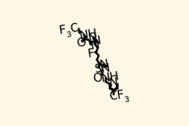 O=C(NCCC(F)(F)F)c1cn(CC(F)CCc2nnc(C(=O)NCc3cc(C(F)(F)F)ccn3)s2)nn1